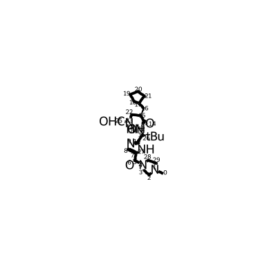 CN1CCN(C(=O)c2cnc([C@@H](NC(=O)[C@H](CC3CCCC3)CN(O)C=O)C(C)(C)C)[nH]2)CC1